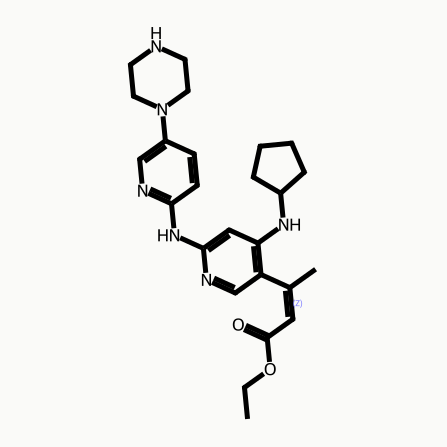 CCOC(=O)/C=C(/C)c1cnc(Nc2ccc(N3CCNCC3)cn2)cc1NC1CCCC1